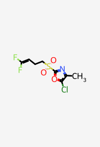 Cc1nc(S(=O)(=O)CCC=C(F)F)oc1Cl